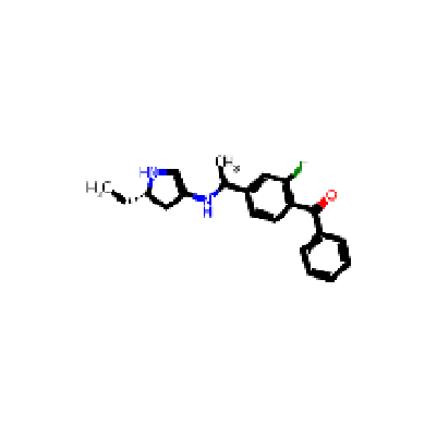 CC[C@H]1CC(NC(C)c2ccc(C(=O)c3ccccc3)c(F)c2)=CN1